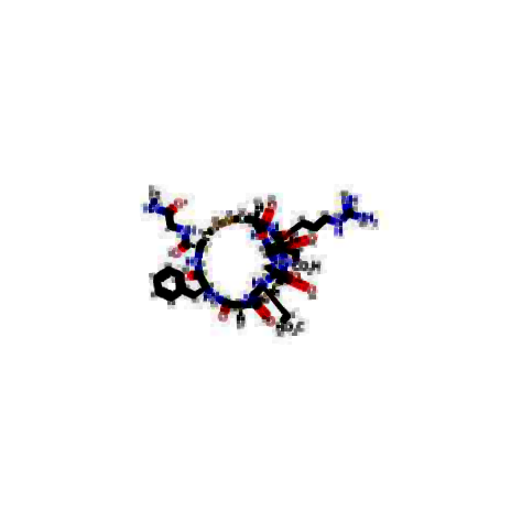 CCNC(=O)CNC(=O)[C@@H]1CSSC[C@@H]2NC(=O)[C@H](CC(=O)O)NC(=O)CSC[C@H](NC(=O)[C@H](CC(=O)O)NC(=O)CNC(=O)[C@H](CCCNC(=N)N)NC2=O)C(=O)N[C@@H](Cc2ccccc2)C(=O)N1